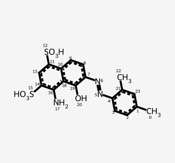 Cc1ccc(N=Nc2ccc3c(S(=O)(=O)O)cc(S(=O)(=O)O)c(N)c3c2O)c(C)c1